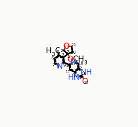 COC1(c2c(C)ccnc2-c2cc3[nH]c(=O)[nH]c3cn2)CCOC1